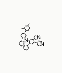 Cc1ccc(-c2ccc3c4ccccc4n(-c4cc(C#N)c(-c5ccncc5)cc4-c4ccccc4)c3c2)c(C)c1